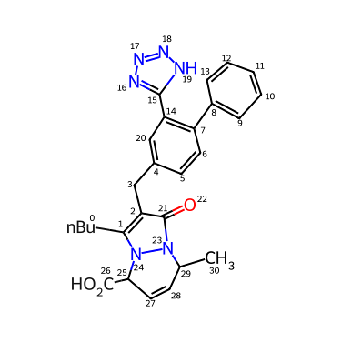 CCCCc1c(Cc2ccc(-c3ccccc3)c(-c3nnn[nH]3)c2)c(=O)n2n1C(C(=O)O)C=CC2C